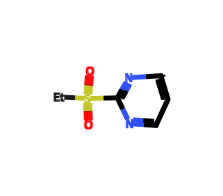 CCS(=O)(=O)c1n[c]ccn1